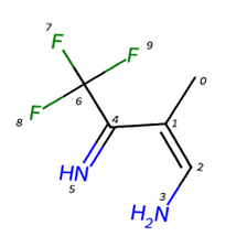 C/C(=C/N)C(=N)C(F)(F)F